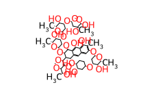 Cc1c(O[C@H]2CC(OC3CCC(O)C(O)C3)C(O)[C@@H](C)O2)cc2cc3c(c(O)c2c1O)C(=O)C(OC1CC(OC2CC(OC4CC(C)(O)C(O)OO4)C(O)[C@@H](C)O2)C(O)[C@@H](C)O1)C(C1OCOC([C@@H](C)O)C1=O)C3